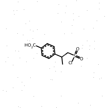 CC(CS(=O)(=O)Cl)c1ccc(C(=O)O)cc1